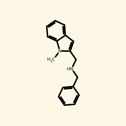 Cn1c(CNCc2ccccc2)cc2ccccc21